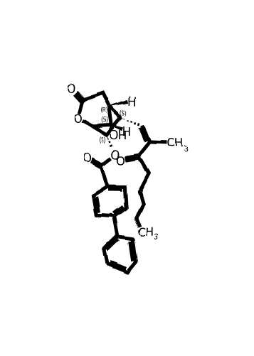 CCCCCC(=O)C(C)=C[C@H]1[C@H]2CC(=O)OC([C@H]2O)[C@H]1OC(=O)c1ccc(-c2ccccc2)cc1